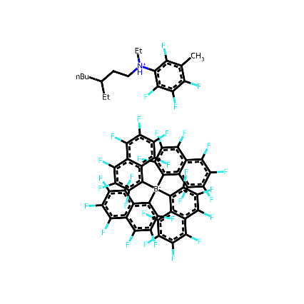 CCCCC(CC)CC[NH+](CC)c1c(F)c(C)c(F)c(F)c1F.Fc1c(F)c(F)c2c([B-](c3c(F)c(F)c(F)c4c(F)c(F)c(F)c(F)c34)(c3c(F)c(F)c(F)c4c(F)c(F)c(F)c(F)c34)c3c(F)c(F)c(F)c4c(F)c(F)c(F)c(F)c34)c(F)c(F)c(F)c2c1F